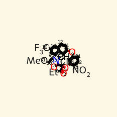 CCC(=O)C(C#N)(Oc1cc(Oc2ccc3cc(C(F)(F)F)ccc3c2)ccc1[N+](=O)[O-])C(=O)N(C)CCOC